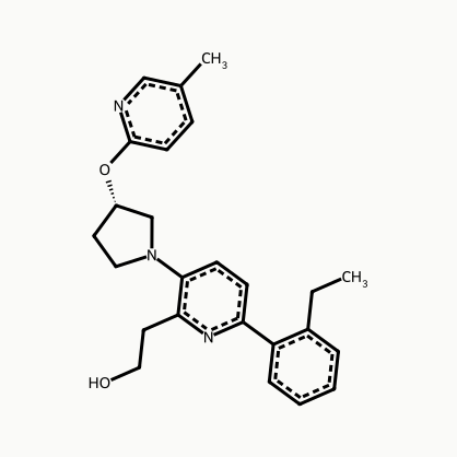 CCc1ccccc1-c1ccc(N2CC[C@H](Oc3ccc(C)cn3)C2)c(CCO)n1